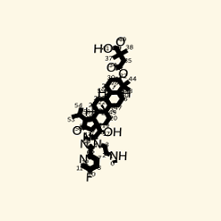 CNCCn1c(-c2ccc(F)cn2)nnc1[C@H](O)[C@@]12CC[C@]3(C)[C@H](CC[C@@H]4[C@@]5(C)CC[C@H](OC(=O)CC(C)(C)C(=O)O)C(C)(C)[C@@H]5CC[C@]43C)C1=C(C(C)C)C(=O)C2